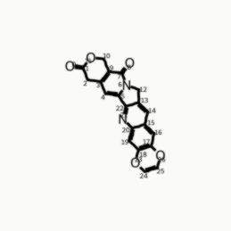 O=C1Cc2cc3n(c(=O)c2CO1)Cc1cc2cc4c(cc2nc1-3)OC=CO4